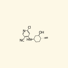 C#C[C@@H]1CC[C@@H](Nc2cc(Cl)ncc2C#N)C[C@H]1O